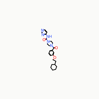 O=C(Nc1ccncn1)N1CCN(C(=O)c2cccc(OCCC3CCCCC3)c2)CC1